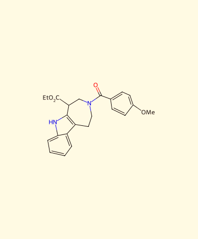 CCOC(=O)C1CN(C(=O)c2ccc(OC)cc2)CCc2c1[nH]c1ccccc21